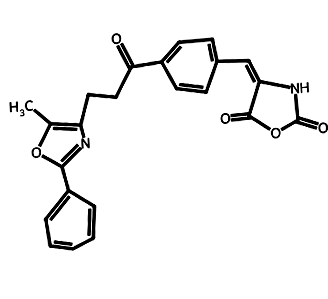 Cc1oc(-c2ccccc2)nc1CCC(=O)c1ccc(C=C2NC(=O)OC2=O)cc1